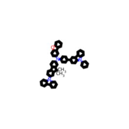 CC1(C)c2cc(N(c3ccc(-c4ccc5c(c4)c4ccccc4n5-c4ccccc4)cc3)c3ccc4oc5ccccc5c4c3)ccc2-c2ccc(-n3c4ccccc4c4ccccc43)cc21